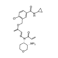 C=CC(=O)N(/N=C/C(=C)OCc1cc(C(=O)NC2CC2)ccc1Cl)[C@H]1CCOC[C@H]1N